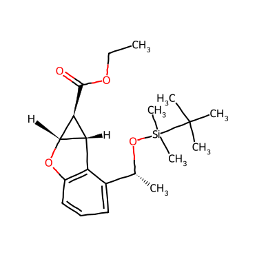 CCOC(=O)[C@@H]1[C@H]2Oc3cccc([C@@H](C)O[Si](C)(C)C(C)(C)C)c3[C@H]21